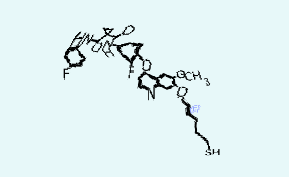 COc1cc2c(Oc3ccc(NC(=O)C4(C(=O)Nc5ccc(F)cc5)CC4)cc3F)ccnc2cc1OC/C=C/CCCS